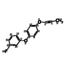 CC#COc1ccc(Oc2cccc(F)c2)cc1